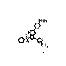 CC(C)N[C@H]1CC[C@@H](c2cnc3c(c2)c(-c2cnn(C)c2)cn3S(=O)(=O)c2ccccc2)CC1